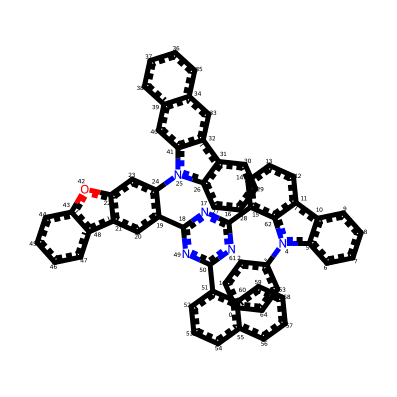 c1ccc(-n2c3ccccc3c3cccc(-c4nc(-c5cc6c(cc5-n5c7ccccc7c7cc8ccccc8cc75)oc5ccccc56)nc(-c5cccc6ccccc56)n4)c32)cc1